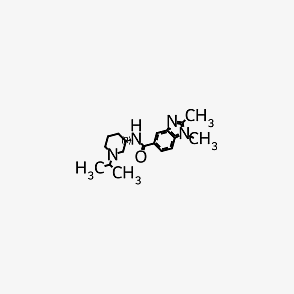 Cc1nc2cc(C(=O)N[C@@H]3CCCN(C(C)C)C3)ccc2n1C